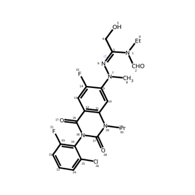 CCN(C=O)/C(CO)=N\N(C)c1cc2c(cc1F)c(=O)n(-c1c(F)cccc1Cl)c(=O)n2C(C)C